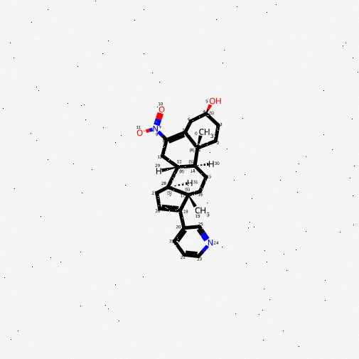 C[C@]12CC[C@H](O)CC1=C([N+](=O)[O-])C[C@@H]1[C@@H]2CC[C@]2(C)C(c3cccnc3)=CC[C@@H]12